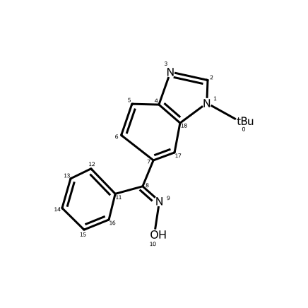 CC(C)(C)n1cnc2ccc(C(=NO)c3ccccc3)cc21